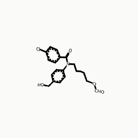 O=COCCCCN(C(=O)c1ccc(Cl)cc1)c1ccc(CO)cc1